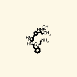 CCC(NC(=O)O)C1CCC(c2cc(NC(=O)Cc3ccccc3OCCN)n[nH]2)C1